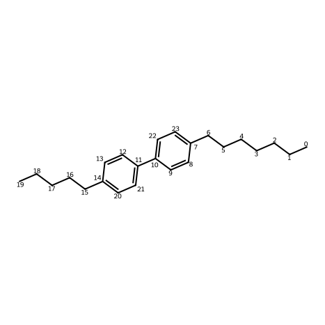 CCCCCCCc1ccc(-c2ccc(CCCCC)cc2)cc1